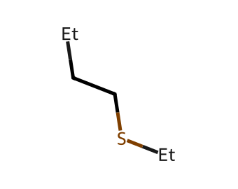 [CH2]CSCCCC